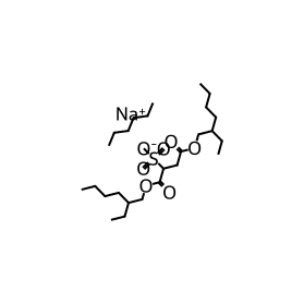 CCCCC(CC)COC(=O)CC(C(=O)OCC(CC)CCCC)S(=O)(=O)[O-].CCCCCC.[Na+]